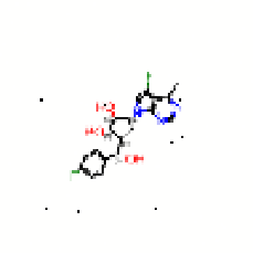 Cc1ncnc2c1c(F)cn2[C@@H]1C[C@H]([C@H](O)c2ccc(F)cc2)[C@@H](O)[C@H]1O